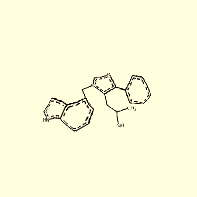 CC(O)Cc1c(-c2ccccc2)ncn1Cc1cccc2[nH]ccc12